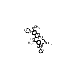 COc1nc2nc(OCCN(C)C)nc(N[C@H](C)c3cccc(C(F)(F)C4CCCO4)c3)c2cc1N1CCOCC1